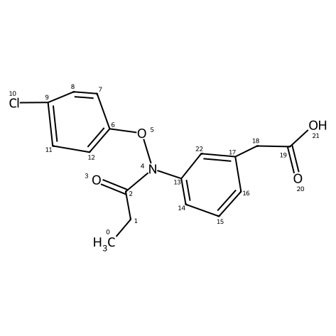 CCC(=O)N(Oc1ccc(Cl)cc1)c1cccc(CC(=O)O)c1